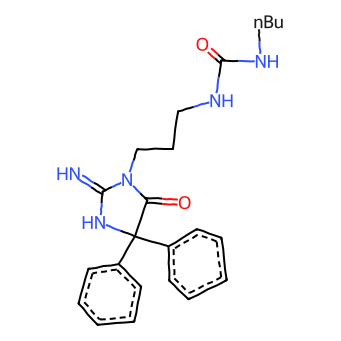 CCCCNC(=O)NCCCN1C(=N)NC(c2ccccc2)(c2ccccc2)C1=O